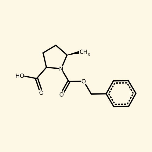 C[C@@H]1CCC(C(=O)O)N1C(=O)OCc1ccccc1